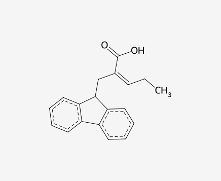 CCC=C(CC1c2ccccc2-c2ccccc21)C(=O)O